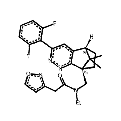 CCN(C[C@@]12CC[C@@H](c3cc(-c4c(F)cccc4F)nnc31)C2(C)C)C(=O)Cc1ccon1